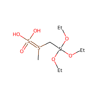 CCO[Si](CS(C)=S(=O)(O)O)(OCC)OCC